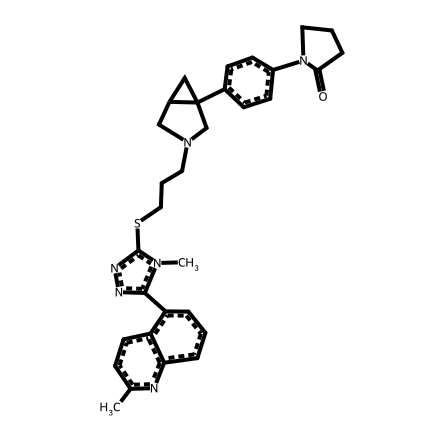 Cc1ccc2c(-c3nnc(SCCCN4CC5CC5(c5ccc(N6CCCC6=O)cc5)C4)n3C)cccc2n1